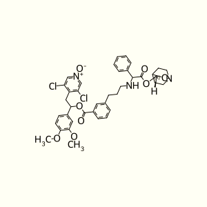 COc1ccc(C(Cc2c(Cl)c[n+]([O-])cc2Cl)OC(=O)c2cccc(CCCNC(C(=O)O[C@H]3CN4CCC3CC4)c3ccccc3)c2)cc1OC